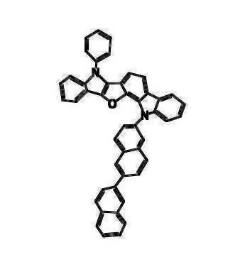 c1ccc(-n2c3ccccc3c3oc4c(ccc5c6ccccc6n(-c6ccc7cc(-c8ccc9ccccc9c8)ccc7c6)c54)c32)cc1